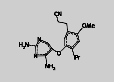 COc1cc(C(C)C)c(Oc2cnc(N)nc2N)cc1CCC#N